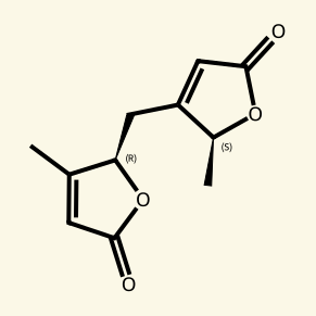 CC1=CC(=O)O[C@@H]1CC1=CC(=O)O[C@H]1C